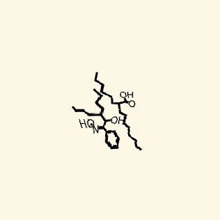 CCCCC(CCCC)C(O)C(=NO)c1ccccc1.CCCCCCCCC(CCCCCC)C(=O)O